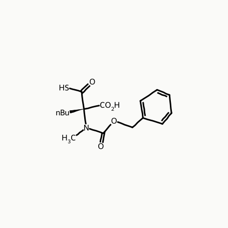 CCCC[C@](C(=O)O)(C(=O)S)N(C)C(=O)OCc1ccccc1